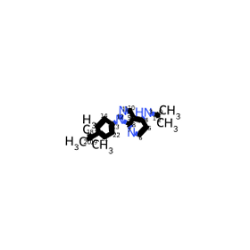 CC(C)Nc1ccnc2c1cnn2-c1ccc(C(C)(C)C)cc1